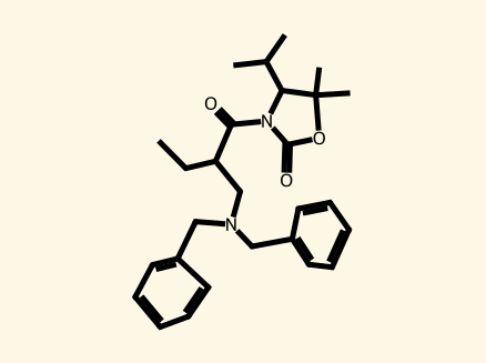 CCC(CN(Cc1ccccc1)Cc1ccccc1)C(=O)N1C(=O)OC(C)(C)C1C(C)C